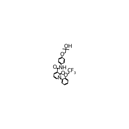 CC(C)(O)COc1ccc(NC(=O)c2cccn(-c3ccccc3OCC(F)(F)F)c2=O)cc1